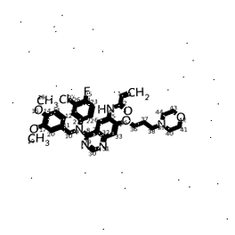 C=CC(=O)Nc1cc2c(N(Cc3ccc(OC)c(OC)c3)c3ccc(F)c(Cl)c3)ncnc2cc1OCCCN1CCOCC1